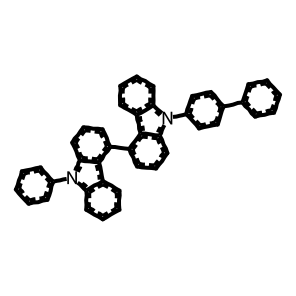 c1ccc(-c2ccc(-n3c4ccccc4c4c(-c5cccc6c5c5ccccc5n6-c5ccccc5)cccc43)cc2)cc1